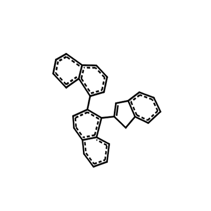 C1=C(c2c(-c3cccc4ccccc34)ccc3ccccc23)Cc2ccccc21